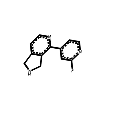 Fc1cc(-c2nccc3c2CNC3)ccn1